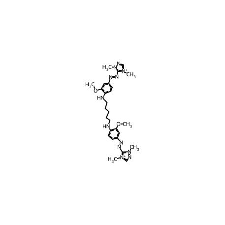 COc1cc(N=Nc2n(C)nc[n+]2C)ccc1NCCCCCNc1ccc(N=Nc2n(C)nc[n+]2C)cc1OC